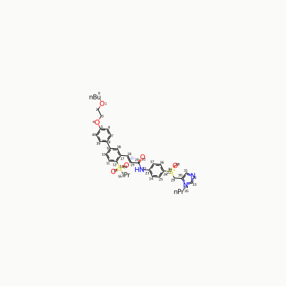 CCCCOCCOc1ccc(-c2ccc(S(=O)(=O)C(C)C)c(/C=C/C(=O)Nc3ccc([S@@+]([O-])Cc4cncn4CCC)cc3)c2)cc1